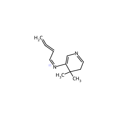 C=C=C/C=N\C1=CN=CCC1(C)C